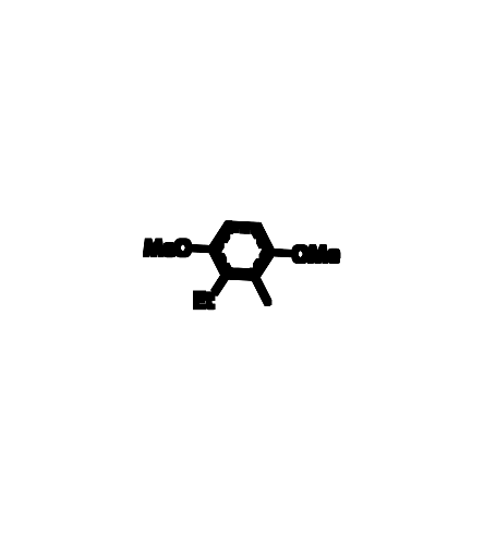 CCc1c(OC)ccc(OC)c1C